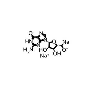 Nc1nc2c(ncn2[C@@H]2O[C@H]([CH]([O-])[Na])[C@@H](O)[C@H]2O)c(=O)[nH]1.[Na+]